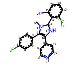 CN1C(c2ccc(F)cc2)=C(c2ccncc2)NC1c1c(F)cccc1I